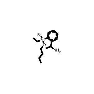 CCCC[O][Sn]([Br])([CH2]C)[c]1ccccc1C(C)N